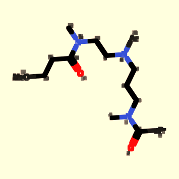 CCCC(=O)N(C)CCCN(CCN(C)C(=O)CCOC)C(C)=O